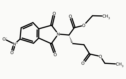 CCOC(=O)CC[C@@H](C(=O)OCC)N1C(=O)c2ccc([N+](=O)[O-])cc2C1=O